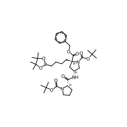 CC(C)(C)OC(=O)N1CCC[C@H]1C(=O)N[C@H]1CN(C(=O)OC(C)(C)C)[C@@](CCCCB2OC(C)(C)C(C)(C)O2)(C(=O)OCc2ccccc2)C1